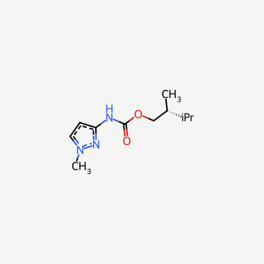 CC(C)[C@@H](C)COC(=O)Nc1ccn(C)n1